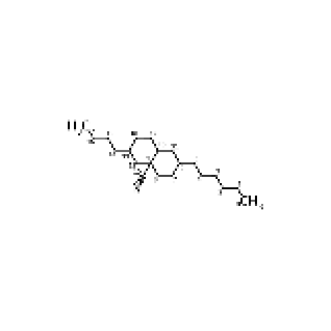 CCCCCCC1CCC2(C#N)CC(CCCC)CCC2C1